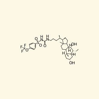 CC[C@H]1[C@@H](O)[C@H]2[C@@H]3CC[C@H]([C@H](C)CCCNC(=O)NS(=O)(=O)c4ccc(OC(F)(F)F)cc4)C3(C)CC[C@@H]2[C@@]2(C)CC[C@@H](O)C[C@@H]12